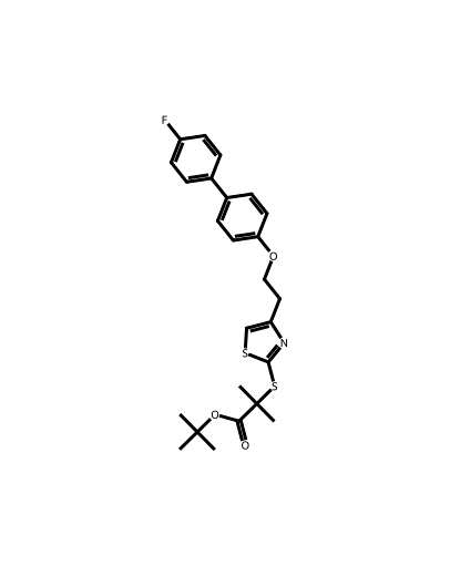 CC(C)(C)OC(=O)C(C)(C)Sc1nc(CCOc2ccc(-c3ccc(F)cc3)cc2)cs1